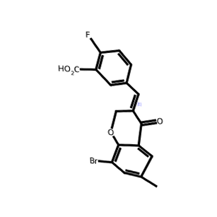 Cc1cc(Br)c2c(c1)C(=O)/C(=C/c1ccc(F)c(C(=O)O)c1)CO2